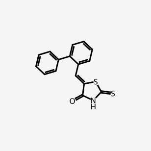 O=C1NC(=S)S/C1=C\c1ccccc1-c1ccccc1